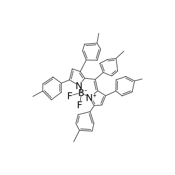 Cc1ccc(C2=CC(c3ccc(C)cc3)=[N+]3C2=C(c2ccc(C)cc2)c2c(-c4ccc(C)cc4)cc(-c4ccc(C)cc4)n2[B-]3(F)F)cc1